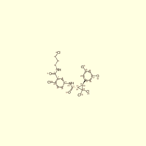 O=C(NCCCCl)c1cc(NC(=O)[C@@H]2[C@@H](c3cc(Cl)cc(Cl)c3)C2(Cl)Cl)ccc1Cl